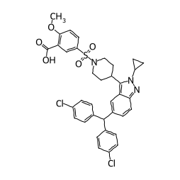 COc1ccc(S(=O)(=O)N2CCC(c3c4cc(C(c5ccc(Cl)cc5)c5ccc(Cl)cc5)ccc4nn3C3CC3)CC2)cc1C(=O)O